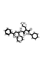 CCCC(C(=O)NC1CCCCC1)C(=O)NC(CC(O)c1ccccc1)N1CCOCC1